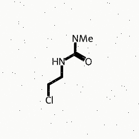 CNC(=O)NCCCl